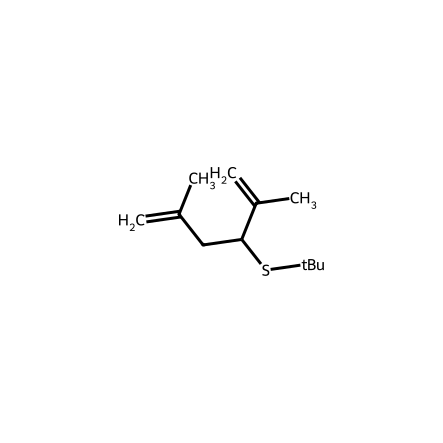 C=C(C)CC(SC(C)(C)C)C(=C)C